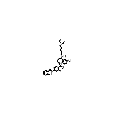 CCN(CC)CCCCCNC1CCCN(C(=O)c2ccc(NC(=O)c3ccccc3C)cc2C)c2ccc(Cl)cc21